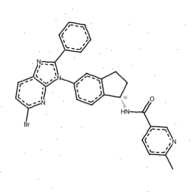 Cc1ccc(C(=O)N[C@H]2CCc3cc(-n4c(-c5ccccc5)nc5ccc(Br)nc54)ccc32)cn1